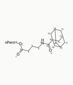 CCCCCOC(=O)CCCNC(=O)C12CC3CC(CC(C3)C1)C2